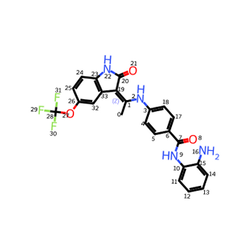 C/C(Nc1ccc(C(=O)Nc2ccccc2N)cc1)=C1/C(=O)Nc2ccc(OC(F)(F)F)cc21